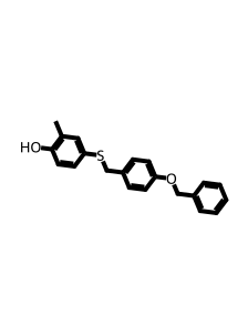 Cc1cc(SCc2ccc(OCc3ccccc3)cc2)ccc1O